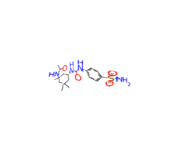 CC(=O)NC1(C)CC(NC(=O)Nc2ccc(S(N)(=O)=O)cc2)CC(C)(C)C1